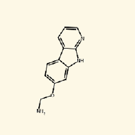 NCOc1ccc2c(c1)[nH]c1ncccc12